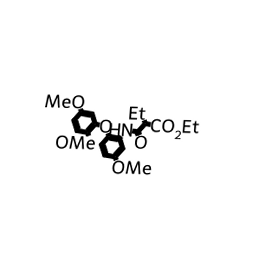 CCOC(=O)C(CC)C(=O)Nc1cc(OC)ccc1Oc1cc(OC)ccc1OC